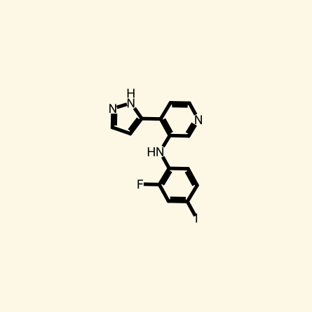 Fc1cc(I)ccc1Nc1cnccc1-c1ccn[nH]1